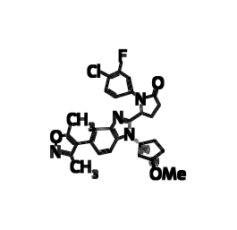 CO[C@@H]1CC[C@@H](n2c(C3CCC(=O)N3c3ccc(Cl)c(F)c3)nc3cc(-c4c(C)noc4C)ccc32)C1